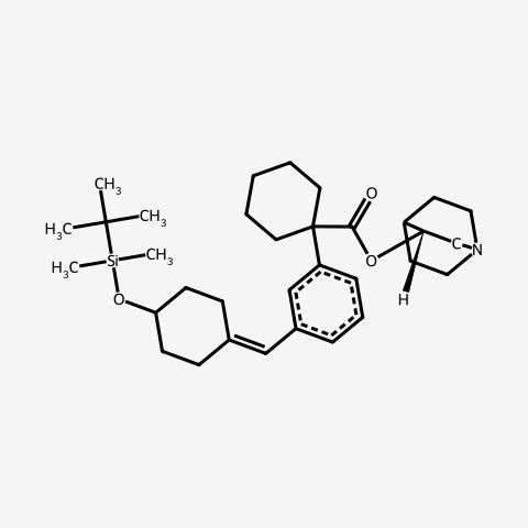 CC(C)(C)[Si](C)(C)OC1CCC(=Cc2cccc(C3(C(=O)O[C@H]4CN5CCC4CC5)CCCCC3)c2)CC1